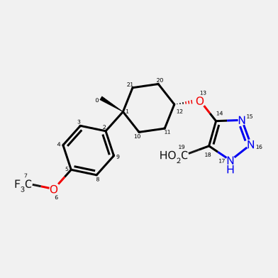 C[C@]1(c2ccc(OC(F)(F)F)cc2)CC[C@@H](Oc2nn[nH]c2C(=O)O)CC1